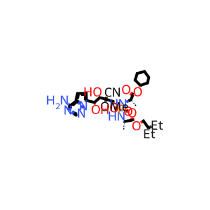 CCC(CC)COC(=O)[C@H](C)NP(=O)(N[C@@H](C)C(=O)OC1CCCCC1)OCC(C#N)(OC)[C@@H](O)[C@@H](O)c1ccc2c(N)ncnn12